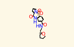 O=C(NCC[C@@H]1CCCCO1)c1ccc2c(c1)NC(=O)c1cccn1S2(=O)=O